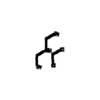 CC(C)[CH2][AlH][CH2]C(C)C.ClCCl